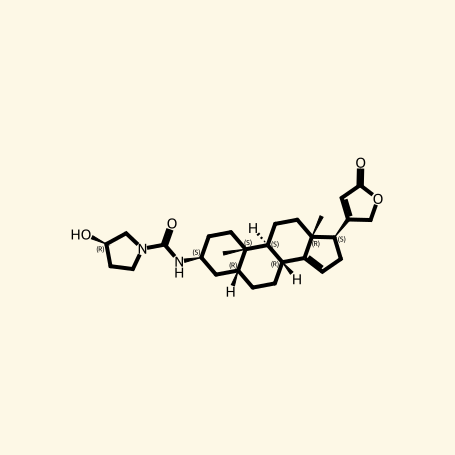 C[C@]12CC[C@H](NC(=O)N3CC[C@@H](O)C3)C[C@H]1CC[C@H]1C3=CC[C@H](C4=CC(=O)OC4)[C@@]3(C)CC[C@@H]12